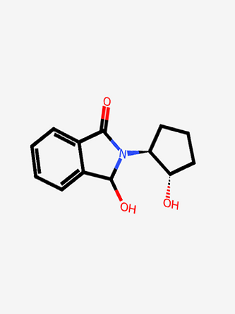 O=C1c2ccccc2C(O)N1[C@H]1CCC[C@@H]1O